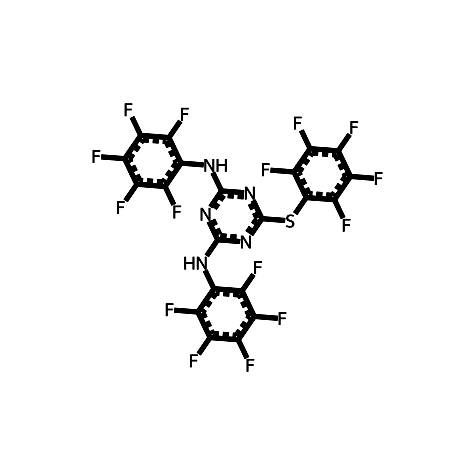 Fc1c(F)c(F)c(Nc2nc(Nc3c(F)c(F)c(F)c(F)c3F)nc(Sc3c(F)c(F)c(F)c(F)c3F)n2)c(F)c1F